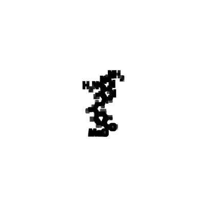 C=C(CCc1cnc2nc(N)nc(N)c2c1C)c1ccc(C(=O)OC)cc1